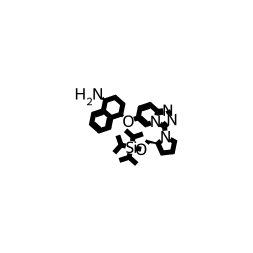 CC(C)[Si](OC[C@@H]1CCCN1c1nnc2ccc(O[C@@H]3CC[C@H](N)c4ccccc43)cn12)(C(C)C)C(C)C